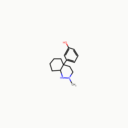 CN1CCC2(c3cccc(O)c3)CCCCC2N1